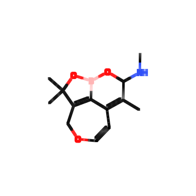 CNC1OB2OC(C)(C)C3=C2C(=C1C)C=COC3